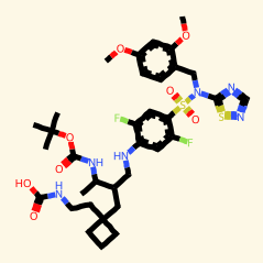 COc1ccc(CN(c2ncns2)S(=O)(=O)c2cc(F)c(NCC(CC3(CCNC(=O)O)CCC3)C(C)NC(=O)OC(C)(C)C)cc2F)c(OC)c1